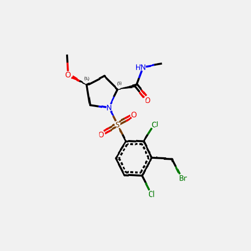 CNC(=O)[C@@H]1C[C@H](OC)CN1S(=O)(=O)c1ccc(Cl)c(CBr)c1Cl